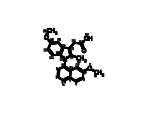 COc1ccc2nccc(-n3c(C)c(CC(=O)O)c4cc(OC)ccc43)c2c1